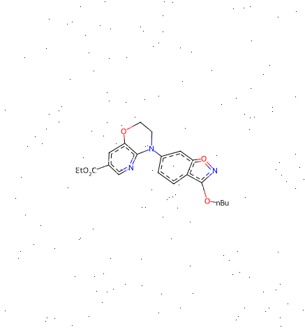 CCCCOc1noc2cc(N3CCOc4cc(C(=O)OCC)cnc43)ccc12